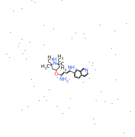 CC1(C)CC(O/C(N)=C/C=C(\N)c2ccc3ccncc3c2)CC(C)(C)N1